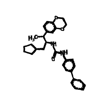 CC(c1ccc2c(c1)OCCO2)C(CC1CCCC1)NC(=O)Nc1ccc(-c2ccccc2)cc1